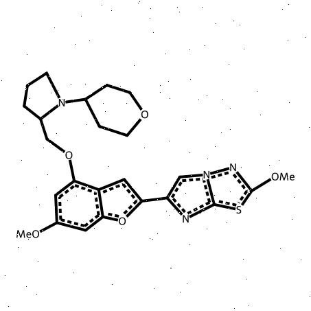 COc1cc(OCC2CCCN2C2CCOCC2)c2cc(-c3cn4nc(OC)sc4n3)oc2c1